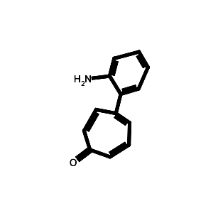 Nc1ccccc1-c1cccc(=O)cc1